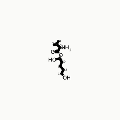 CC(C)[C@H](N)C(=O)OC(O)CCCCO